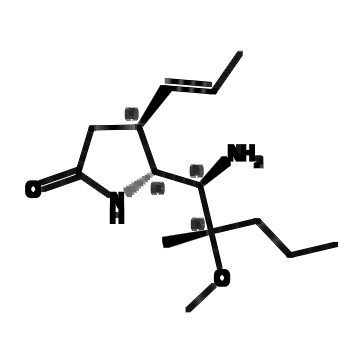 CC=C[C@@H]1CC(=O)N[C@H]1[C@@H](N)[C@](C)(CCC)OC